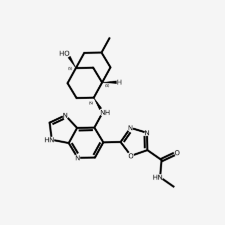 CNC(=O)c1nnc(-c2cnc3[nH]cnc3c2N[C@H]2CC[C@]3(O)CC(C)C[C@H]2C3)o1